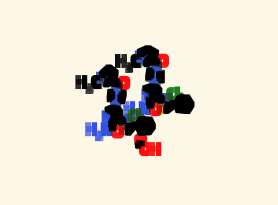 CN1CCCC(C(=O)N2CCN(c3cnc(C(N)=O)c(-c4nc(-c5ccccc5Cl)cs4)c3)CC2)C1.CN1CCCC(C(=O)N2CCN(c3cnc(C(N)=O)c(-c4nc(-c5ccccc5Cl)cs4)c3)CC2)C1.O=CO